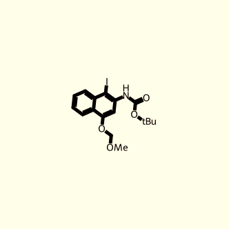 COCOc1cc(NC(=O)OC(C)(C)C)c(I)c2ccccc12